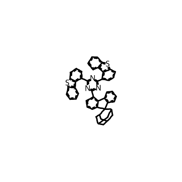 c1ccc2c(c1)-c1c(-c3nc(-c4cccc5sc6ccccc6c45)nc(-c4cccc5sc6ccccc6c45)n3)cccc1C21C2CC3CC(C2)CC1C3